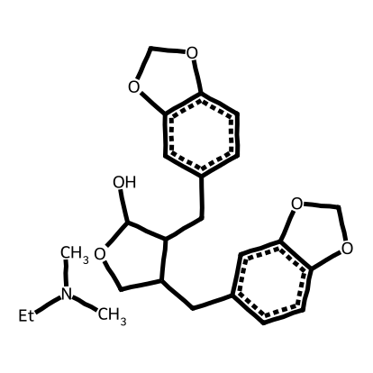 CCN(C)C.OC1OCC(Cc2ccc3c(c2)OCO3)C1Cc1ccc2c(c1)OCO2